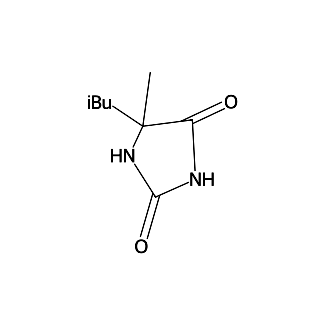 CCC(C)C1(C)NC(=O)NC1=O